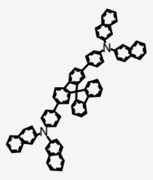 c1ccc2c(c1)-c1ccccc1C21c2cc(-c3ccc(N(c4ccc5ccccc5c4)c4ccc5ccccc5c4)cc3)ccc2-c2ccc(-c3ccc(N(c4ccc5ccccc5c4)c4ccc5ccccc5c4)cc3)cc21